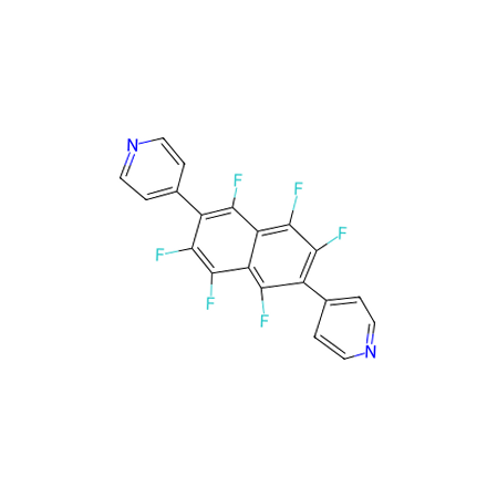 Fc1c(-c2ccncc2)c(F)c2c(F)c(F)c(-c3ccncc3)c(F)c2c1F